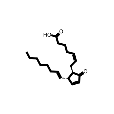 CCCCCCC=C[C@H]1C=CC(=O)[C@@H]1C/C=C\CCCC(=O)O